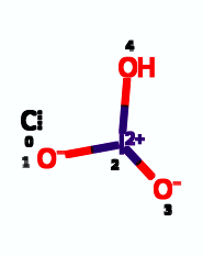 [C].[O-][I+2]([O-])O